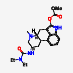 CCN(CC)C(=O)N[C@H]1CC2c3cccc4[nH]c(OC(=O)OC)c(c34)C[C@H]2N(C)C1